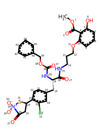 COC(=O)c1c(O)cccc1OCCCNC(=O)[C@H](Cc1ccc(C2CC(=O)[N+]([O-])([O-])S2)c(Br)c1)NC(=O)OCc1ccccc1